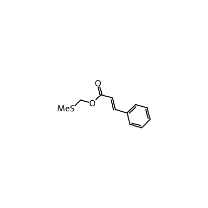 CSCOC(=O)C=Cc1ccccc1